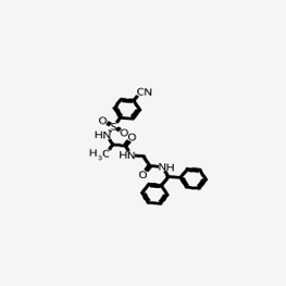 CC(NS(=O)(=O)c1ccc(C#N)cc1)C(=O)NCC(=O)NC(c1ccccc1)c1ccccc1